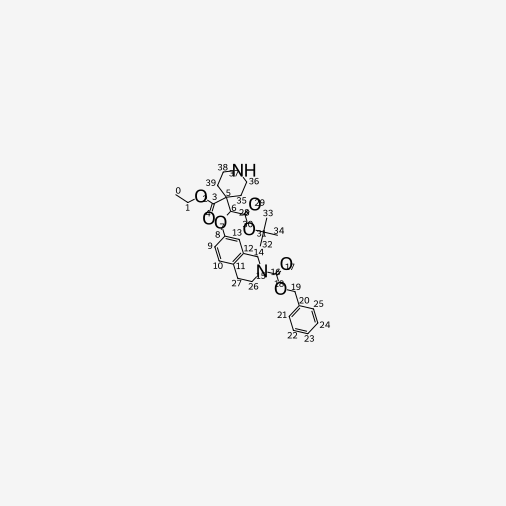 CCOC(=O)C1(C(Oc2ccc3c(c2)CN(C(=O)OCc2ccccc2)CC3)C(=O)OC(C)(C)C)CCNCC1